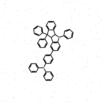 c1ccc(N(c2ccccc2)c2ccc(-c3ccc4c(c3)C3C(c5ccccc5C3(c3ccccc3)c3ccccc3)N4c3ccccc3)cc2)cc1